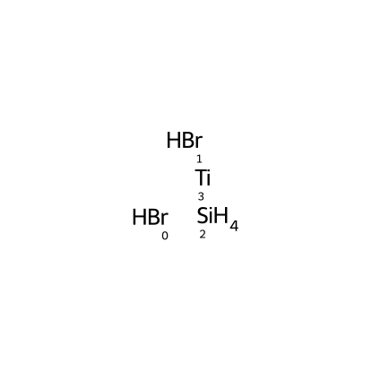 Br.Br.[SiH4].[Ti]